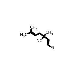 CCC=CC(C)(C#N)CC=C(C)C